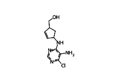 Nc1c(Cl)ncnc1NC1C=CC(CO)C1